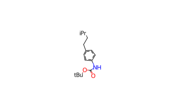 CC(C)CCc1ccc(NC(=O)OC(C)(C)C)cc1